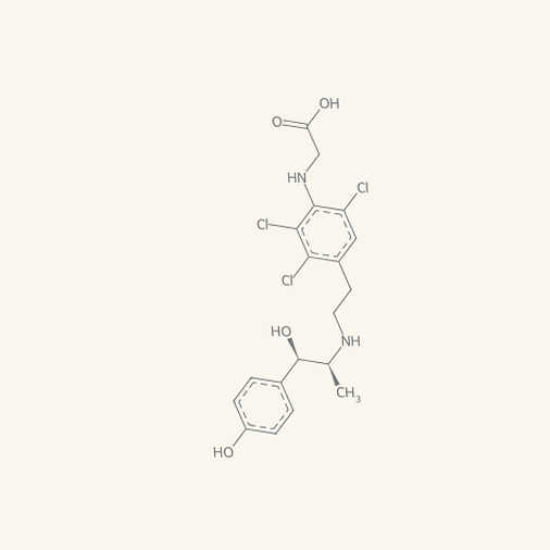 C[C@H](NCCc1cc(Cl)c(NCC(=O)O)c(Cl)c1Cl)[C@H](O)c1ccc(O)cc1